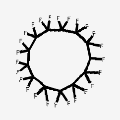 FC1C(F)(F)C(F)(F)C(F)(F)C(F)(F)C(F)(F)C(F)(F)C(F)(F)C(F)(F)C(F)(F)C(F)(F)C(F)(F)C1(F)F